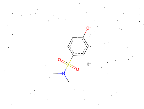 CN(C)S(=O)(=O)c1ccc([O-])cc1.[K+]